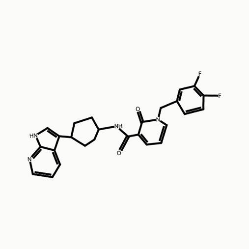 O=C(NC1CCC(c2c[nH]c3ncccc23)CC1)c1cccn(Cc2ccc(F)c(F)c2)c1=O